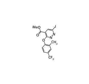 COC(=O)c1cc(I)nnc1Oc1ccc(C(F)(F)F)cc1C